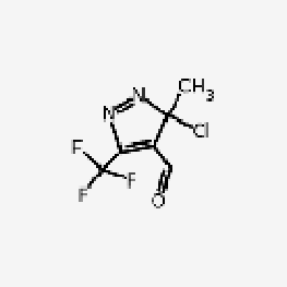 CC1(Cl)N=NC(C(F)(F)F)=C1C=O